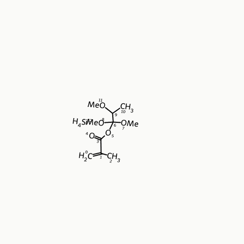 C=C(C)C(=O)OC(OC)(OC)C(C)OC.[SiH4]